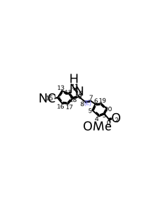 COC(=O)c1ccc(/C=C/c2n[nH]c3cc(C#N)ccc23)cc1